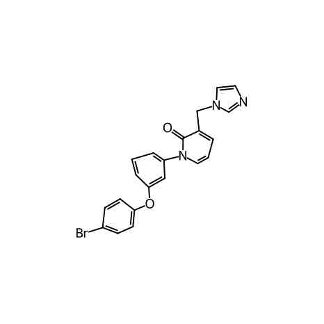 O=c1c(Cn2ccnc2)cccn1-c1cccc(Oc2ccc(Br)cc2)c1